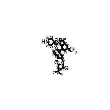 CC1(C)C2C(=O)N(Cc3cc4c(-c5cc(C(F)(F)F)cc6ccn(CC7(O)CCNCC7)c56)ncnn4c3)C(=O)C21